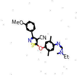 CCN(C)/C=N\c1cc(C)c(Oc2snc(-c3cccc(OC)c3)c2C#N)cc1C